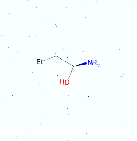 CCC[C@@H](N)O